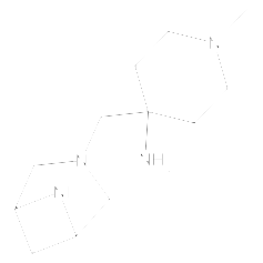 CN1CCC(N)(CN2CC3CC(C2)N3)CC1